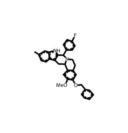 COc1cc2c(cc1OCc1ccccc1)CCN1C2Cc2c([nH]c3cc(C)ccc23)C1c1ccc(F)cc1